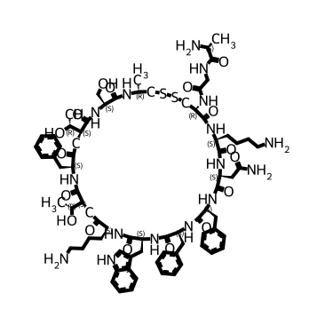 C[C@@H]1CSSC[C@H](NC(=O)CNC(=O)[C@H](C)N)C(=O)N[C@@H](CCCCN)C(=O)N[C@@H](CC(N)=O)C(=O)N[C@@H](Cc2ccccc2)C(=O)N[C@@H](Cc2ccccc2)C(=O)N[C@@H](Cc2c[nH]c3ccccc23)C(=O)N[C@@H](CCCCN)C(=O)C[C@@H]([C@@H](C)O)C(=O)N[C@@H](Cc2ccccc2)C(=O)C[C@@H]([C@@H](C)O)C(=O)N[C@@H](CO)C(=O)N1